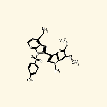 COc1cc2c(nc1OC)c(-c1cc3c(CN)ccnc3n1S(=O)(=O)c1ccc(C)cc1)cn2C